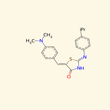 CC(C)c1ccc(N=C2NC(=O)C(=Cc3ccc(N(C)C)cc3)S2)cc1